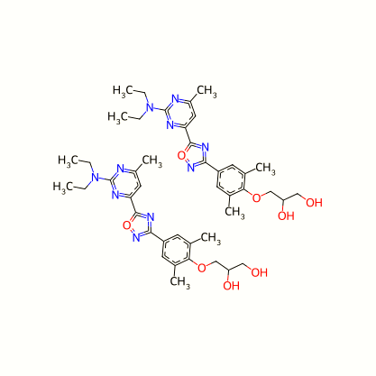 CCN(CC)c1nc(C)cc(-c2nc(-c3cc(C)c(OCC(O)CO)c(C)c3)no2)n1.CCN(CC)c1nc(C)cc(-c2nc(-c3cc(C)c(OCC(O)CO)c(C)c3)no2)n1